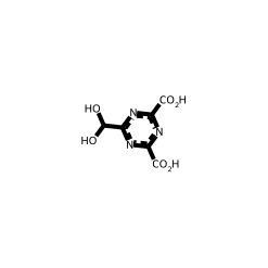 O=C(O)c1nc(C(=O)O)nc(C(O)O)n1